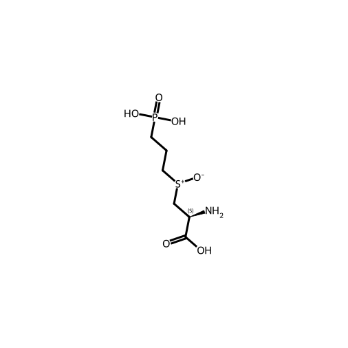 N[C@H](C[S+]([O-])CCCP(=O)(O)O)C(=O)O